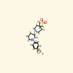 O=S1(=O)CC2(CCN([C@@H]3CCCN(c4ccc(C(F)(F)F)cc4)C3)CC2)C1